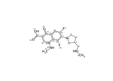 CNCC1CCN(c2c(F)cc3c(=O)c(C(=O)O)cn(NC)c3c2F)C1